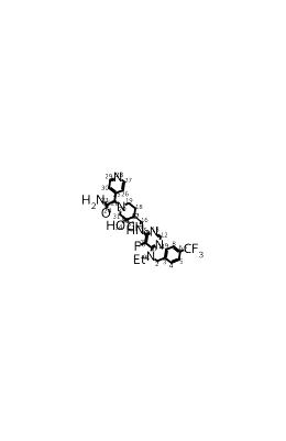 CCN(Cc1ccc(C(F)(F)F)cc1)c1ncnc(NC[C@@H]2CCN(C(C(N)=O)c3ccncc3)C[C@]2(C)O)c1F